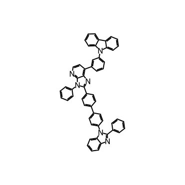 c1ccc(-c2nc3ccccc3n2-c2ccc(-c3ccc(-c4nc5c(-c6cccc(-n7c8ccccc8c8ccccc87)c6)ccnc5n4-c4ccccc4)cc3)cc2)cc1